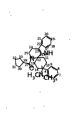 CN(C)C1(c2ccccc2)CCC2(CC1)c1[nH]c3ccccc3c1CCN2C(=O)C1CCCC1